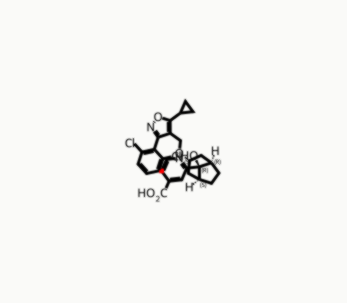 O=C(O)c1ccnc([C@]2(O)[C@@H]3CC[C@H]2C[C@H](OCc2c(-c4c(Cl)cccc4Cl)noc2C2CC2)C3)c1